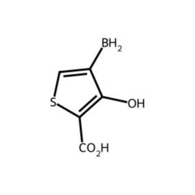 Bc1csc(C(=O)O)c1O